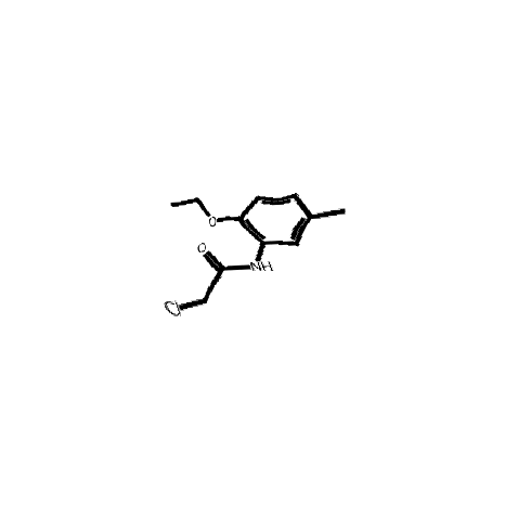 CCOc1ccc(C)cc1NC(=O)CCl